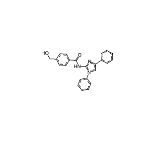 O=C(Nc1nc(-c2ccccc2)cn1-c1ccccc1)c1ccc(CO)cc1